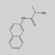 CCC(C)C(C)C(=O)Nc1ccc2ccccc2c1